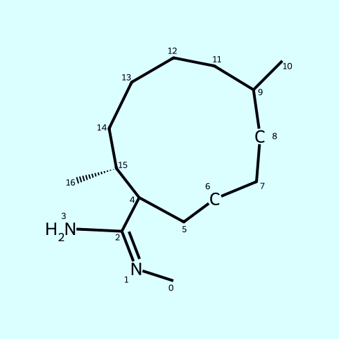 C/N=C(/N)C1CCCCC(C)CCCC[C@H]1C